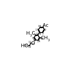 CC(=O)c1ccc(-c2c(C)cc(OCCO)cc2C)cc1